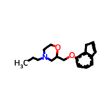 CCCN1CCOC(COc2cccc3c2CC=C3)C1